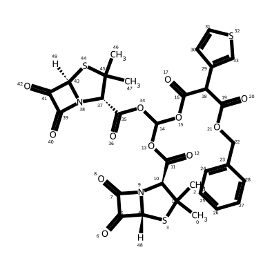 CC1(C)S[C@@H]2C(=O)C(=O)N2[C@H]1C(=O)OC(OC(=O)C(C(=O)OCc1ccccc1)c1ccsc1)OC(=O)[C@@H]1N2C(=O)C(=O)[C@H]2SC1(C)C